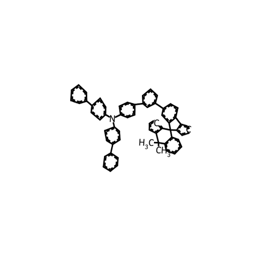 CC1(C)c2ccccc2C2(c3ccccc3-c3ccc(-c4cccc(-c5ccc(N(c6ccc(-c7ccccc7)cc6)c6ccc(-c7ccccc7)cc6)cc5)c4)cc32)c2ccccc21